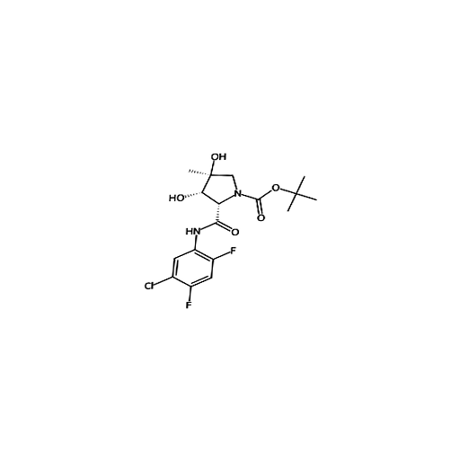 CC(C)(C)OC(=O)N1C[C@](C)(O)[C@@H](O)[C@H]1C(=O)Nc1cc(Cl)c(F)cc1F